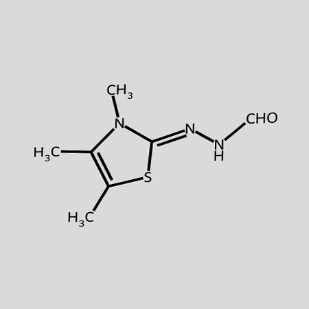 Cc1sc(=NNC=O)n(C)c1C